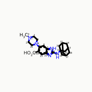 CN1CCN(c2cc3[nH]c(NC45CC6CC(CC(C6)C4)C5)nc3cc2C(=O)O)CC1